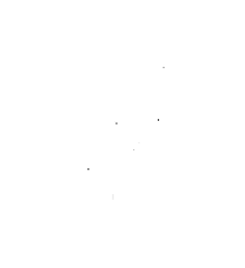 CCOC(=O)c1cc([C@@H]2Nc3ccc(OC)cc3[C@@H]3C=CC[C@@H]32)nn1C